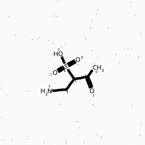 CC(=O)C(CN)S(=O)(=O)O